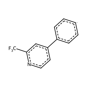 FC(F)(F)c1cc(-c2cc[c]cc2)ccn1